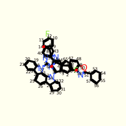 Fc1ccc(-c2nc(-c3ccc(F)cc3)nc(-n3c4ccccc4c4ccc5c6ccccc6n(-c6cc(C7=CC=CCC7)cc(-c7ccc8oc(-c9ccccc9)nc8c7)c6)c5c43)n2)cc1